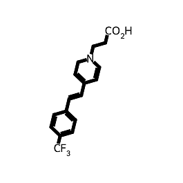 O=C(O)CCN1C=CC(/C=C/c2ccc(C(F)(F)F)cc2)=CC1